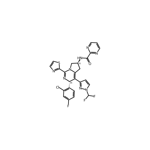 O=C(N[C@H]1CC2=C(c3ccn(C(F)F)n3)[C@H](c3ccc(F)cc3Cl)N=C(c3nccs3)N2C1)c1ncccn1